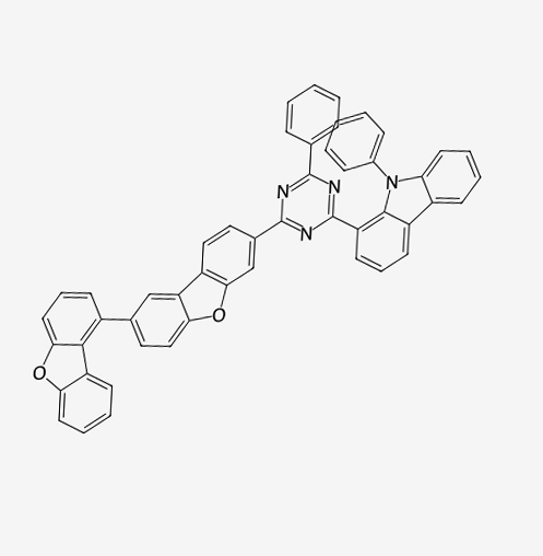 c1ccc(-c2nc(-c3ccc4c(c3)oc3ccc(-c5cccc6oc7ccccc7c56)cc34)nc(-c3cccc4c5ccccc5n(-c5ccccc5)c34)n2)cc1